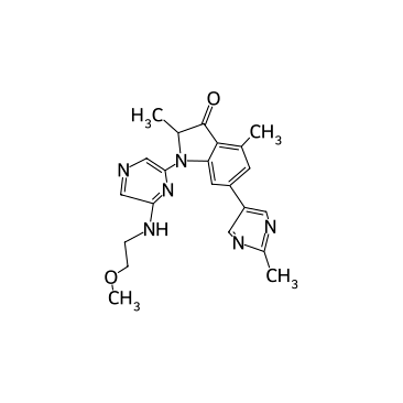 COCCNc1cncc(N2c3cc(-c4cnc(C)nc4)cc(C)c3C(=O)C2C)n1